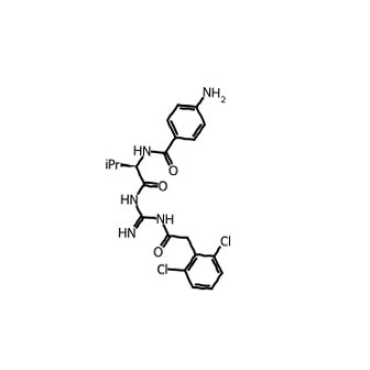 CC(C)[C@@H](NC(=O)c1ccc(N)cc1)C(=O)NC(=N)NC(=O)Cc1c(Cl)cccc1Cl